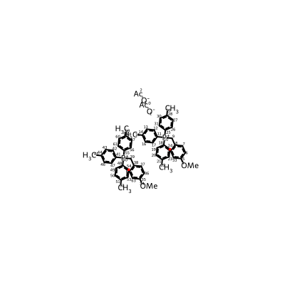 CC(=O)[O-].CC(=O)[O-].COc1ccc(C[P+](c2ccc(C)cc2)(c2ccc(C)cc2)c2ccc(C)cc2)cc1.COc1ccc(C[P+](c2ccc(C)cc2)(c2ccc(C)cc2)c2ccc(C)cc2)cc1